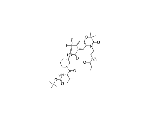 CCC(=O)NCCN1C(=O)C(C)(C)Oc2cc(C(F)(F)F)c(C(=O)N[C@@H]3CCCN(C(=O)[C@@H](NC(=O)OC(C)(C)C)C(C)C)C3)cc21